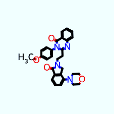 COc1ccc(-n2c(CCN3Cc4c(cccc4N4CCOCC4)C3=O)nc3ccccc3c2=O)cc1